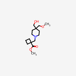 COCC1(CO)CCN(CC2(C(=O)OC)CCC2)CC1